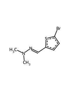 CN(C)N=Cc1ccc(Br)s1